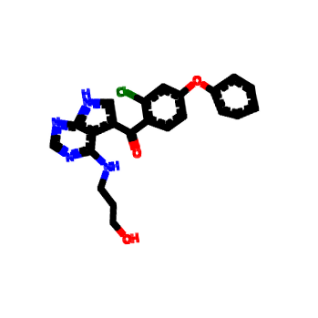 O=C(c1ccc(Oc2ccccc2)cc1Cl)c1c[nH]c2ncnc(NCCCO)c12